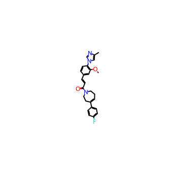 COc1cc(C=CC(=O)N2CCC=C(c3ccc(F)cc3)CC2)ccc1-n1cnc(C)c1